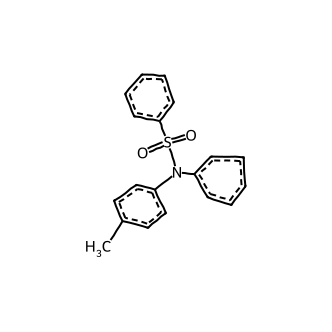 Cc1ccc(N(c2ccccc2)S(=O)(=O)c2ccccc2)cc1